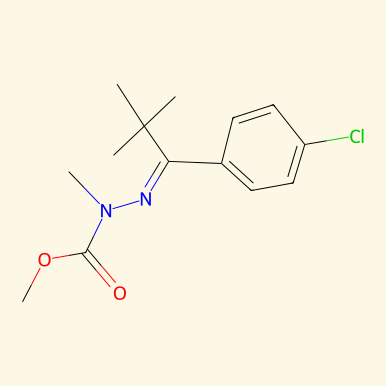 COC(=O)N(C)N=C(c1ccc(Cl)cc1)C(C)(C)C